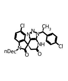 CCCCCCCCCCN1C(=O)[C@]2(CC(=O)Nc3c2nnn3[C@@H](C)c2ccc(Cl)cc2)c2cc(Cl)ccc21